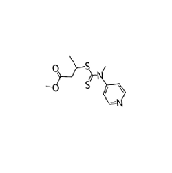 COC(=O)CC(C)SC(=S)N(C)c1ccncc1